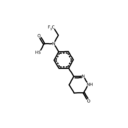 O=C1CCC(c2ccc(N(CC(F)(F)F)C(=O)S)cc2)=NN1